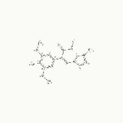 COC(=O)C(=Cc1cc(C)no1)c1cc(OC)c(O)c(OC)c1